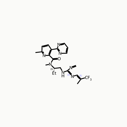 C=N/C(=N\C=C(/C)C(F)(F)F)NC[C@H](CC)N(C)C(=O)c1nc(C)ccc1-c1ncccn1